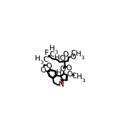 COC(=O)C[C@](O)(CCCC(C)(C)F)C(=O)OC1C(OC)=CC23CCCN2CCc2cc4c(cc2[C@H]13)OCO4